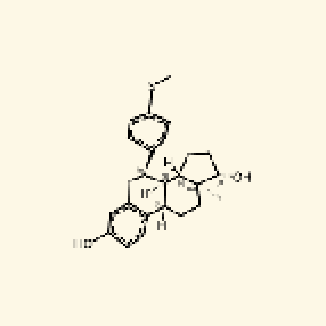 CSc1ccc([C@@H]2Cc3cc(O)ccc3[C@H]3CC[C@]4(C)[C@@H](O)CC[C@H]4[C@@H]32)cc1